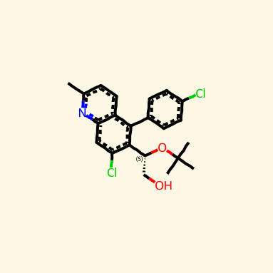 Cc1ccc2c(-c3ccc(Cl)cc3)c([C@@H](CO)OC(C)(C)C)c(Cl)cc2n1